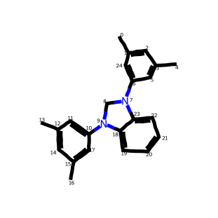 Cc1cc(C)cc(N2CN(c3cc(C)cc(C)c3)c3ccccc32)c1